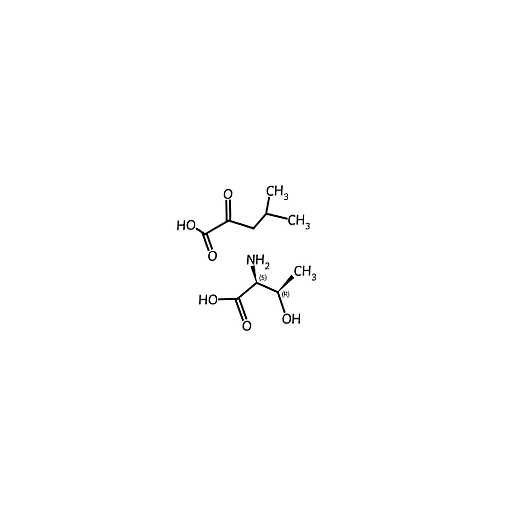 CC(C)CC(=O)C(=O)O.C[C@@H](O)[C@H](N)C(=O)O